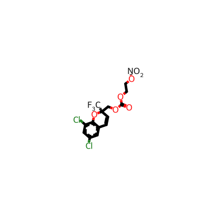 O=C(OCCO[N+](=O)[O-])OCC1(C(F)(F)F)C=Cc2cc(Cl)cc(Cl)c2O1